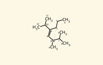 CCC/C(=C\N(C)C(C)C)C(C)C